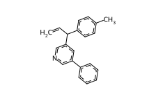 C=CC(c1ccc(C)cc1)c1cncc(-c2ccccc2)c1